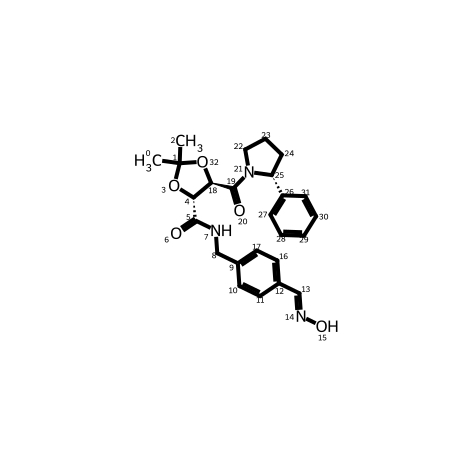 CC1(C)O[C@@H](C(=O)NCc2ccc(C=NO)cc2)[C@H](C(=O)N2CCC[C@@H]2c2ccccc2)O1